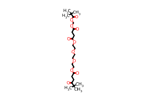 CC(C)(C)C(=O)CCC(=O)OCCOCCOCCOC(=O)CCC(=O)OCOC(=O)C(C)(C)C